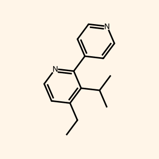 CCc1ccnc(-c2ccncc2)c1C(C)C